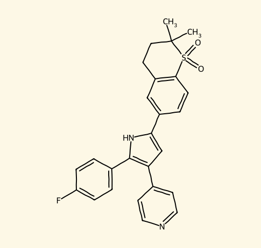 CC1(C)CCc2cc(-c3cc(-c4ccncc4)c(-c4ccc(F)cc4)[nH]3)ccc2S1(=O)=O